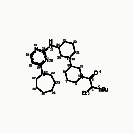 CCCCC(CC)C(=O)N1CCCC(N2CCCC(Nc3nccc(N4CCCCCC4)n3)C2)C1